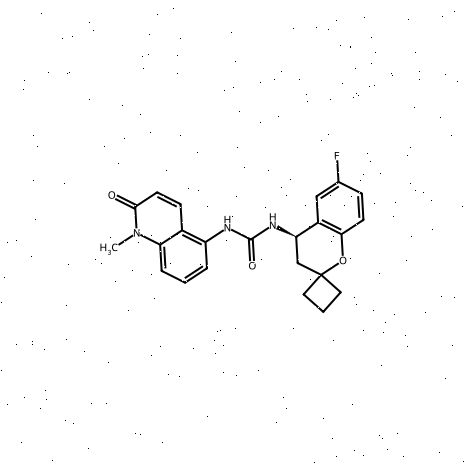 Cn1c(=O)ccc2c(NC(=O)N[C@@H]3CC4(CCC4)Oc4ccc(F)cc43)cccc21